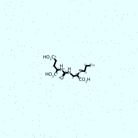 O=C(O)CCC(NC(=O)NCC(SCCF)C(=O)O)C(=O)O